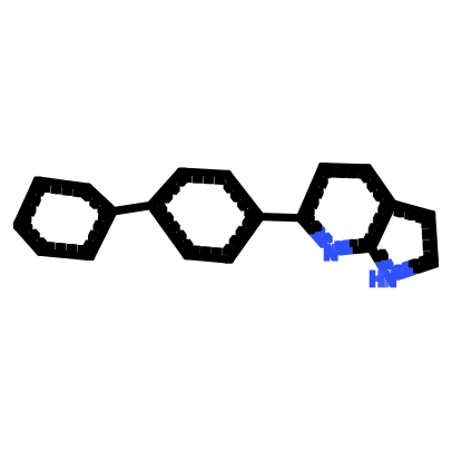 c1ccc(-c2ccc(-c3ccc4cc[nH]c4n3)cc2)cc1